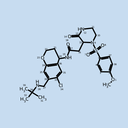 COc1ccc(S(=O)(=O)N2CCNC(=O)C2CC(=O)NC2CCOc3cc(CNC(C)(C)C)c(Cl)cc32)cc1